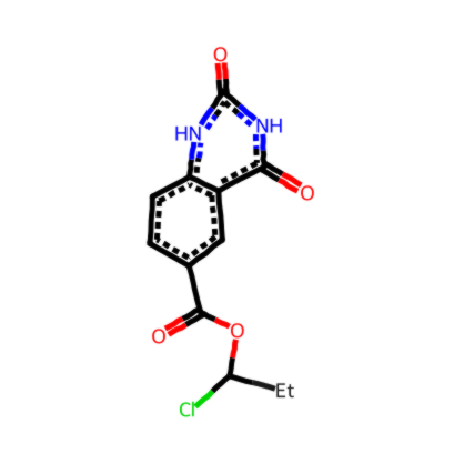 CCC(Cl)OC(=O)c1ccc2[nH]c(=O)[nH]c(=O)c2c1